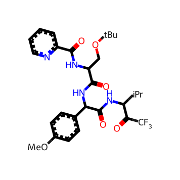 COc1ccc(C(NC(=O)C(COC(C)(C)C)NC(=O)c2ccccn2)C(=O)NC(C(=O)C(F)(F)F)C(C)C)cc1